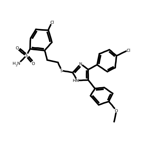 COc1ccc(-c2[nH]c(SCCc3cc(Cl)ccc3S(N)(=O)=O)nc2-c2ccc(Cl)cc2)cc1